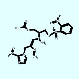 C=N/C(=C\N(N)C(COC(C)=O)COS(=O)(=O)c1ccccc1[N+](=O)[O-])Cn1ccnc1[N+](=O)[O-]